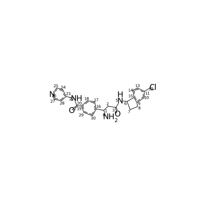 NC(CC(=O)NC1CCc2cc(Cl)ccc21)c1ccc(C(=O)Nc2ccncc2)cc1